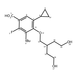 CC(C)(C)c1c(F)c(C(=O)O)cc(C2CC2)c1OCC(CCO)CCO